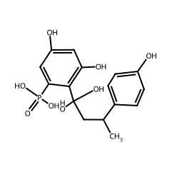 CC(CC(O)(O)c1c(O)cc(O)cc1P(=O)(O)O)c1ccc(O)cc1